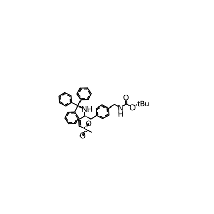 CC(C)(C)OC(=O)NCc1ccc(C[C@@H](C=CS(C)(=O)=O)NC(c2ccccc2)(c2ccccc2)c2ccccc2)cc1